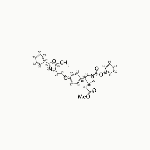 COC(=O)C[C@H]1CN(C(=O)Oc2ccccc2)C[C@H]1c1ccc(OCCc2nc(-c3ccccc3)oc2C)cc1